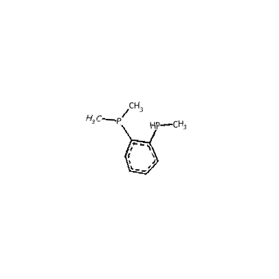 CPc1ccccc1P(C)C